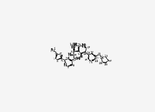 CC(=O)c1ccc(-c2nccc3[nH]c(-c4n[nH]c5ncc(-c6cncc(CN7CCCC7)c6)c(F)c45)nc23)s1